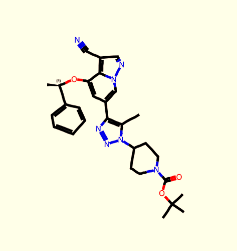 Cc1c(-c2cc(O[C@H](C)c3ccccc3)c3c(C#N)cnn3c2)nnn1C1CCN(C(=O)OC(C)(C)C)CC1